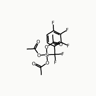 CC(=O)O[Si](OC(C)=O)(OC(C)=O)C(F)(F)c1ccc(F)c(F)c1F